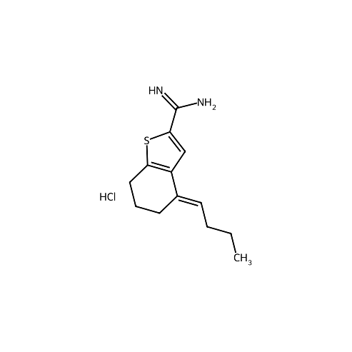 CCCC=C1CCCc2sc(C(=N)N)cc21.Cl